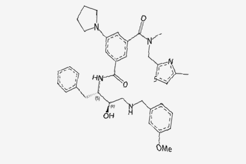 COc1cccc(CNC[C@@H](O)[C@H](Cc2ccccc2)NC(=O)c2cc(C(=O)N(C)Cc3nc(C)cs3)cc(N3CCCC3)c2)c1